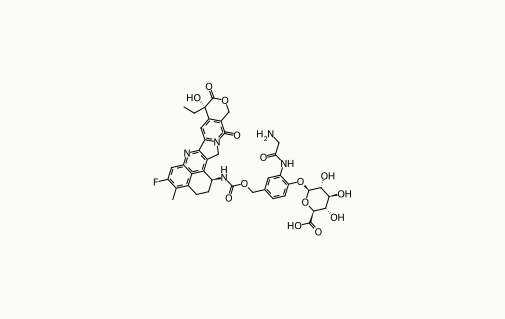 CC[C@@]1(O)C(=O)OCc2c1cc1n(c2=O)Cc2c-1nc1cc(F)c(C)c3c1c2[C@@H](NC(=O)OCc1ccc(O[C@@H]2O[C@H](C(=O)O)[C@@H](O)[C@H](O)[C@H]2O)c(NC(=O)CN)c1)CC3